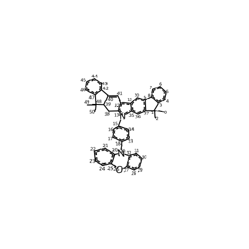 CC1(C)c2ccccc2-c2cc3c4c(n(-c5ccc(N6c7ccccc7Oc7ccccc76)cc5)c3cc21)CC1C(=C4)c2ccccc2C1(C)C